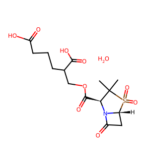 CC1(C)[C@H](C(=O)OCC(CCCC(=O)O)C(=O)O)N2C(=O)C[C@H]2S1(=O)=O.O